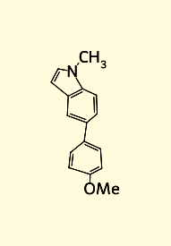 COc1ccc(-c2ccc3c(ccn3C)c2)cc1